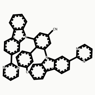 N#Cc1cccc(-c2c(-n3c4ccccc4c4ccc(-c5ncccn5)cc43)cc(C#N)cc2-n2c3ccccc3c3ccc(-c4ncccn4)cc32)c1